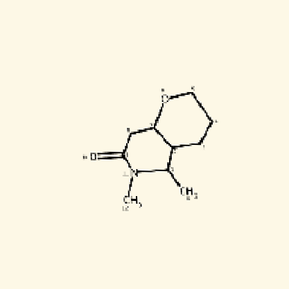 CC1C2CCCOC2CC(=O)N1C